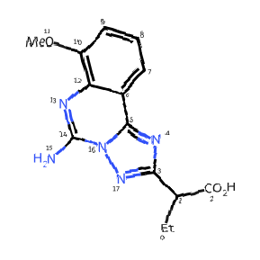 CCC(C(=O)O)c1nc2c3cccc(OC)c3nc(N)n2n1